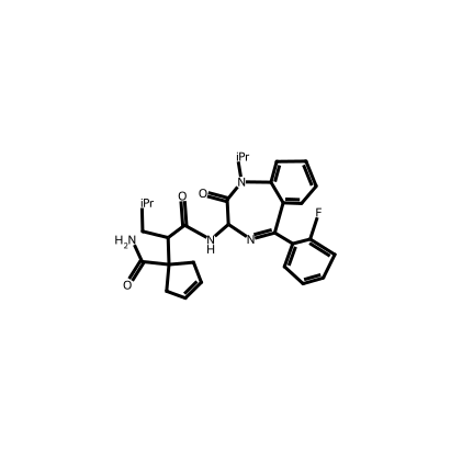 CC(C)CC(C(=O)NC1N=C(c2ccccc2F)c2ccccc2N(C(C)C)C1=O)C1(C(N)=O)CC=CC1